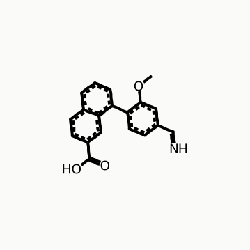 COc1cc(C=N)ccc1-c1cccc2ccc(C(=O)O)cc12